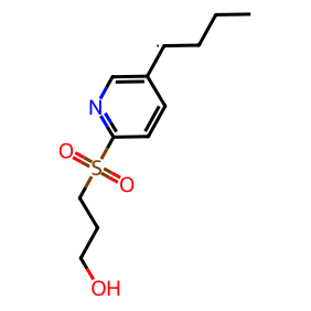 CCC[CH]c1ccc(S(=O)(=O)CCCO)nc1